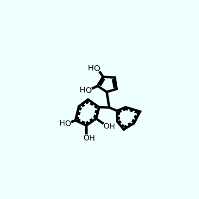 OC1=C(O)C(C(c2ccccc2)c2ccc(O)c(O)c2O)C=C1